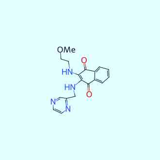 COCCNC1=C(NCc2cnccn2)C(=O)c2ccccc2C1=O